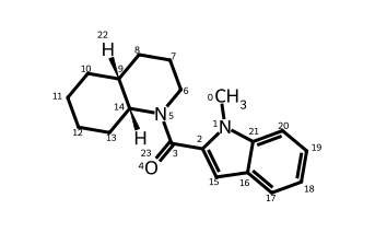 Cn1c(C(=O)N2CCC[C@H]3CCCC[C@H]32)cc2ccccc21